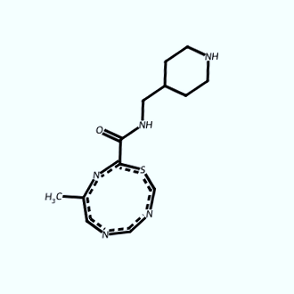 Cc1cncncsc(C(=O)NCC2CCNCC2)n1